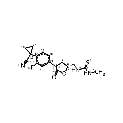 CNC(=S)NC[C@H]1CN(c2ccc(C3(C#N)CC3)c(F)c2)C(=O)O1